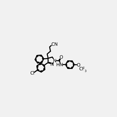 N#CCCCC1(c2ccccc2)CN(C(=O)Nc2ccc(OC(F)(F)F)cc2)N=C1c1ccc(Cl)cc1